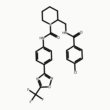 O=C(NCC1CCCCN1C(=O)Nc1ccc(-c2noc(C(F)(F)F)n2)cc1)c1ccc(Cl)cc1